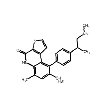 Br.CNCC(C)c1ccc(-c2c(O)cc(C)c3[nH]c(=O)c4sccc4c23)cc1